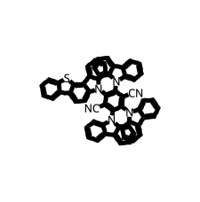 N#Cc1c(-n2c3ccccc3c3ccccc32)c(-n2c3ccccc3c3ccccc32)c(C#N)c(-n2c3ccccc3c3c4sc5ccccc5c4ccc32)c1-n1c2ccccc2c2ccccc21